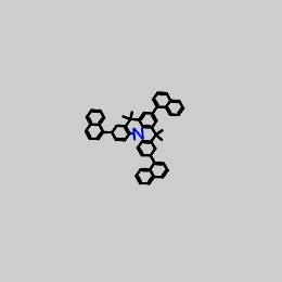 CC1(C)C2=C(C=CC(c3cccc4ccccc34)C2)N2C3=C(CC(c4cccc5ccccc45)C=C3)C(C)(C)c3cc(-c4cccc5ccccc45)cc1c32